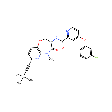 CN1C(=O)C(NC(=O)c2cc(Oc3cccc(F)c3)ccn2)COc2ccc(C#C[Si](C)(C)C)nc21